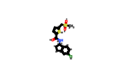 CS(=O)(=O)Cc1ccc(C(=O)N[C@@H]2CCc3cc(Cl)ccc32)s1